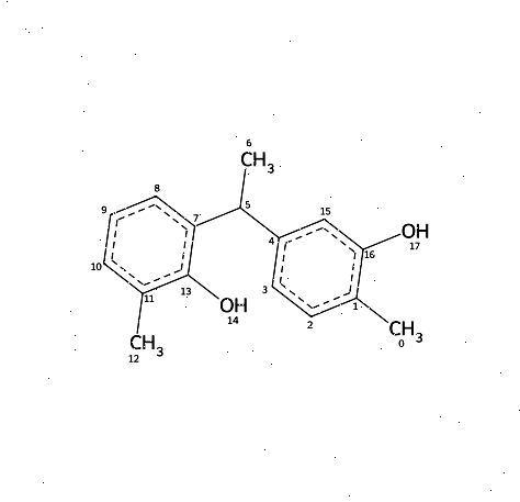 Cc1ccc(C(C)c2cccc(C)c2O)cc1O